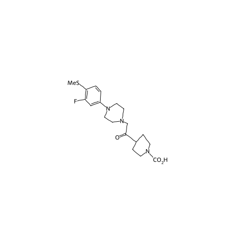 CSc1ccc(N2CCN(CC(=O)C3CCN(C(=O)O)CC3)CC2)cc1F